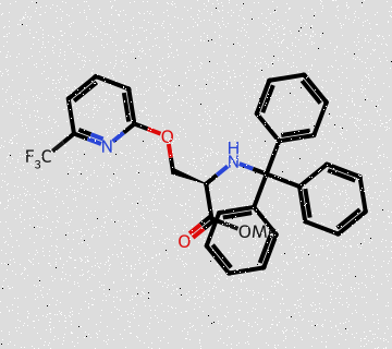 COC(=O)[C@@H](COc1cccc(C(F)(F)F)n1)NC(c1ccccc1)(c1ccccc1)c1ccccc1